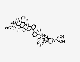 COc1cc(OC2CCc3c(-c4cccc(NC(=O)c5nc6c(n5C)CCN(C(CO)CO)C6)c4Cl)cccc32)c(Cl)c(F)c1CNC1(C(=O)O)CC1